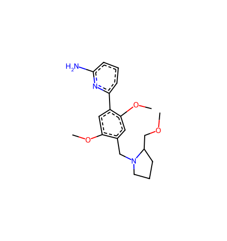 COCC1CCCN1Cc1cc(OC)c(-c2cccc(N)n2)cc1OC